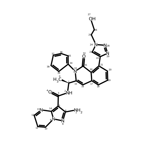 C[C@H](NC(=O)c1c(N)nn2cccnc12)c1cc2cccc(-c3cn(CCO)nn3)c2c(=O)n1-c1ccccc1